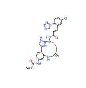 COC(=O)Nc1ccc2c(c1)NC[C@H](C)CCC[C@H](NC(=O)C=Cc1cc(Cl)ccc1-n1cnnn1)c1nc-2c[nH]1